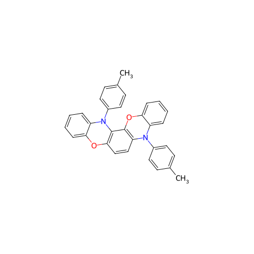 Cc1ccc(-n2c3ccccc3oc3c2ccc2oc4ccccc4n(-c4ccc(C)cc4)c23)cc1